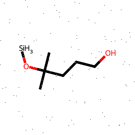 CC(C)(CCCO)O[SiH3]